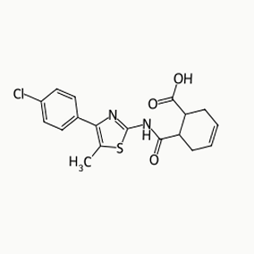 Cc1sc(NC(=O)C2CC=CCC2C(=O)O)nc1-c1ccc(Cl)cc1